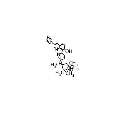 CN(c1ccc(-c2c(O)ccc3cc(-n4ccnc4)cnc23)nn1)C1CC(C)(C)NC(C)(C)C1